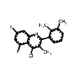 Cc1cccc(-c2nc3cc(F)cc(F)c3c(Cl)c2C)c1C